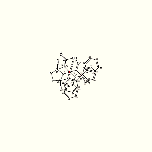 NC(C(=O)N1C[C@@H]2CC[C@H]([C@H]1C(=O)O)N2C(=O)C(c1ccccc1)c1ccccc1)(c1ccccc1)c1ccccc1